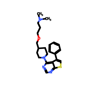 CN(C)CCCOCC1CCN(c2ncnc3scc(-c4ccccc4)c23)CC1